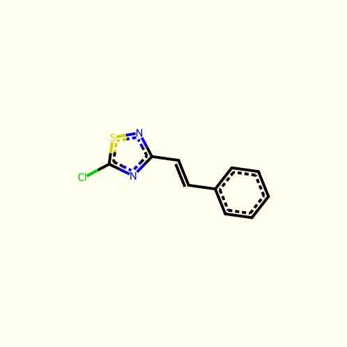 Clc1nc(C=Cc2ccccc2)ns1